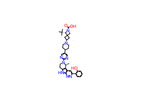 C[C@H]1c2c([nH]c3nnc(-c4ccccc4O)cc23)CCN1c1ncc(C2CCN(C3CC4(C3)CN(C(=O)O)[C@H]4C(C)(C)C)CC2)cn1